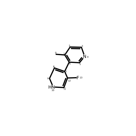 Cc1ccncc1C1=CCN[C]=C1F